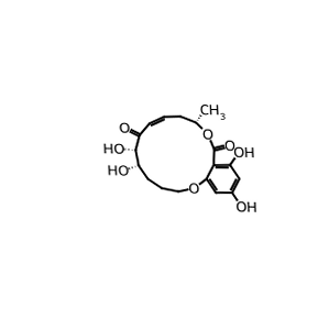 C[C@H]1C/C=C\C(=O)[C@@H](O)[C@@H](O)CCCOc2cc(O)cc(O)c2C(=O)O1